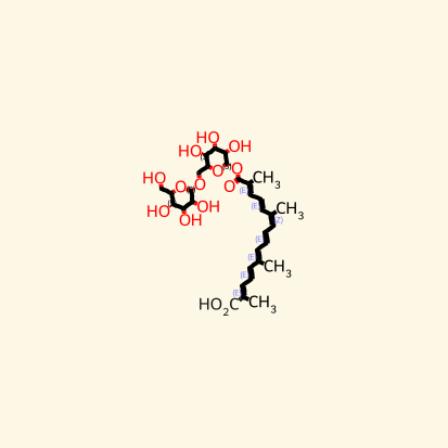 CC(=C/C=C/C=C(C)/C=C/C=C(\C)C(=O)O)/C=C/C=C(\C)C(=O)O[C@@H]1OC(CO[C@@H]2OC(CO)[C@@H](O)C(O)C2O)[C@@H](O)C(O)C1O